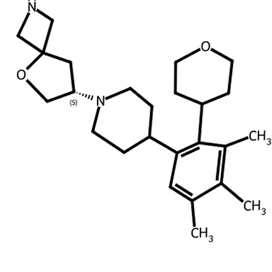 Cc1cc(C2CCN([C@@H]3COC4(CNC4)C3)CC2)c(C2CCOCC2)c(C)c1C